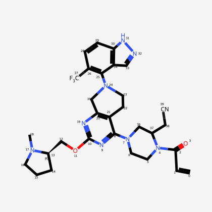 C=CC(=O)N1CCN(c2nc(OC[C@H]3CCCN3C)nc3c2CCN(c2c(C(F)(F)F)ccc4[nH]ncc24)C3)CC1CC#N